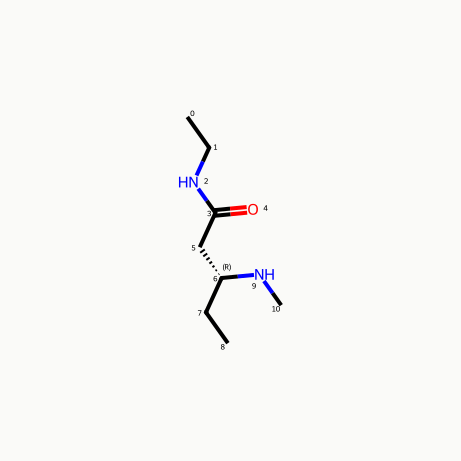 CCNC(=O)C[C@@H](CC)NC